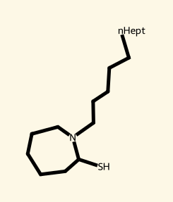 CCCCCCCCCCCCN1CCCCCC1S